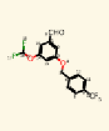 O=Cc1cc(OCc2ccc(C(F)(F)F)cc2)cc(OC(F)F)c1